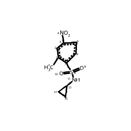 Cc1cc([N+](=O)[O-])ccc1S(=O)(=O)NC1CC1